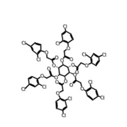 O=C(COc1ccc(Cl)cc1Cl)O[C@H]1[C@H](OC(=O)COc2ccc(Cl)cc2Cl)[C@@H](OC(=O)COc2ccc(Cl)cc2Cl)[C@H](OC(=O)COc2ccc(Cl)cc2Cl)[C@@H](OC(=O)COc2ccc(Cl)cc2Cl)[C@H]1OC(=O)COc1ccc(Cl)cc1Cl